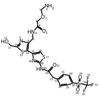 NCOCC(=O)NCc1nc(CO)sc1-c1csc(NC(=O)Cc2ccc(S(=O)(=O)C(F)(F)F)cc2)n1